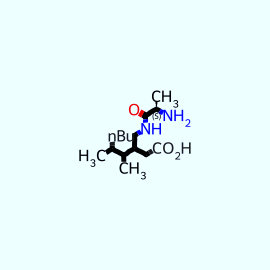 CCCCC(C)C(C)C(CNC(=O)[C@H](C)N)CC(=O)O